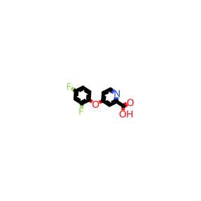 O=C(O)c1cc(Oc2ccc(F)cc2F)ccn1